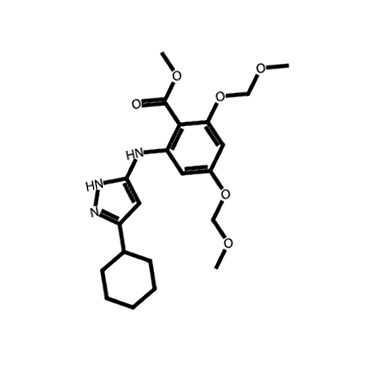 COCOc1cc(Nc2cc(C3CCCCC3)n[nH]2)c(C(=O)OC)c(OCOC)c1